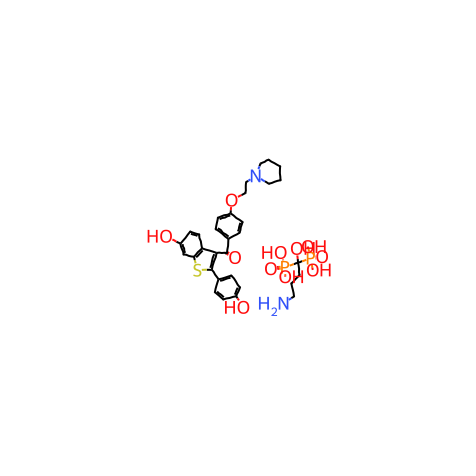 NCCCC(O)(P(=O)(O)O)P(=O)(O)O.O=C(c1ccc(OCCN2CCCCC2)cc1)c1c(-c2ccc(O)cc2)sc2cc(O)ccc12